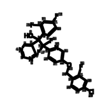 OC(c1cncnc1)(c1ccc(F)cc1F)C(F)(F)c1ccc(OCc2ccc(Cl)cc2F)cn1